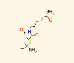 BC(=O)CCCCCN1C(=O)CC(SC(B)(C)CC)C1=O